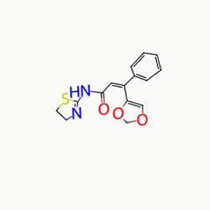 O=C(C=C(C1=COCO1)c1ccccc1)NC1=NCCS1